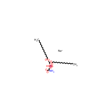 CCCCCCCCCCCCCCCCC(=O)OC[C@H](COP(=O)(O)OC[C@H](N)C(=O)[O-])OC(=O)CCCCCCCCCCCCCCCC.[Na+]